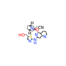 N#CCCN1[C@@H]2CC[C@H]1C[C@H](Oc1nc(Nc3ncc(CO)s3)cc3ncccc13)C2